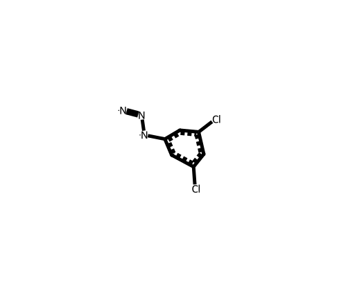 [N]=N[N]c1cc(Cl)cc(Cl)c1